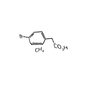 C.O=C(O)Cc1ccc(Br)cc1